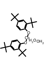 CC(C)(C)c1ccc([O][Co][O]c2ccc(C(C)(C)C)cc2C(C)(C)C)c(C(C)(C)C)c1.O.O